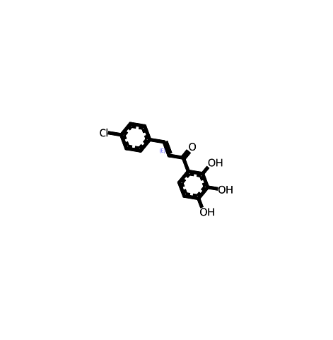 O=C(/C=C/c1ccc(Cl)cc1)c1ccc(O)c(O)c1O